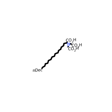 CCCCCCCCCCCCCCCCCCCCCCCCCC(C(=O)O)N(CC(=O)O)CC(=O)O